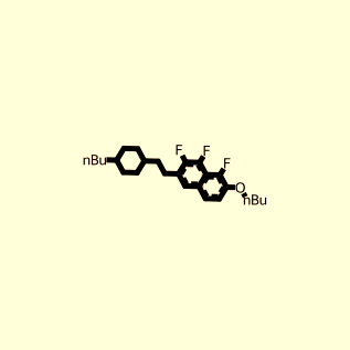 CCCCOc1ccc2cc(CCC3CCC(CCCC)CC3)c(F)c(F)c2c1F